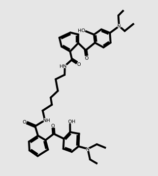 CCN(CC)c1ccc(C(=O)c2ccccc2C(=O)NCCCCCCNC(=O)c2ccccc2C(=O)c2ccc(N(CC)CC)cc2O)c(O)c1